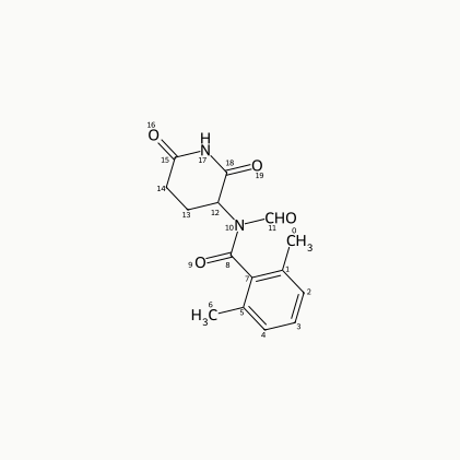 Cc1cccc(C)c1C(=O)N(C=O)C1CCC(=O)NC1=O